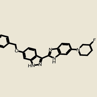 FC1CCCN(c2ccc3nc(-c4n[nH]c5cc(OCc6ccccc6)ccc45)[nH]c3c2)C1